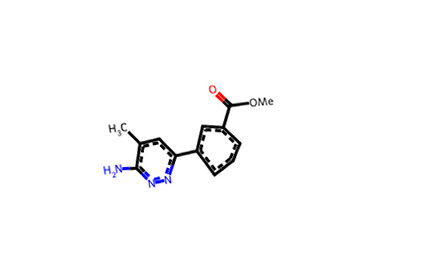 COC(=O)c1cccc(-c2cc(C)c(N)nn2)c1